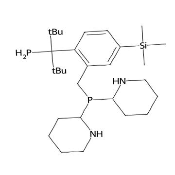 CC(C)(C)C(P)(c1ccc([Si](C)(C)C)cc1CP(C1CCCCN1)C1CCCCN1)C(C)(C)C